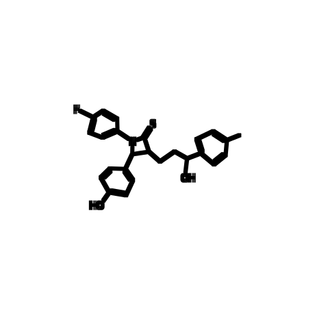 Cc1ccc(C(O)CCC2C(=S)N(c3ccc(F)cc3)C2c2ccc(O)cc2)cc1